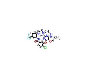 CC1COc2c(ncnc2Oc2cc(C(=O)Nc3cc(C(F)(F)F)ccc3N3CCN(C)CC3)ccc2Cl)N1